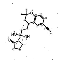 CC1(C)CC(CCC(O)(O)N2CCCC2=O)c2cc(C#N)ccc2O1